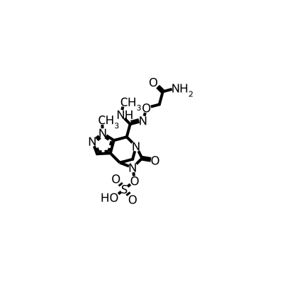 CN/C(=N\OCC(N)=O)C1c2c(cnn2C)C2CN1C(=O)N2OS(=O)(=O)O